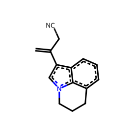 C=C(CC#N)c1cn2c3c(cccc13)CCC2